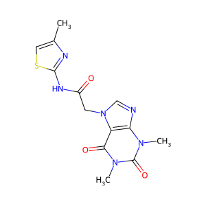 Cc1csc(NC(=O)Cn2cnc3c2c(=O)n(C)c(=O)n3C)n1